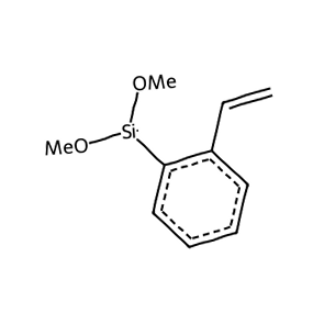 C=Cc1ccccc1[Si](OC)OC